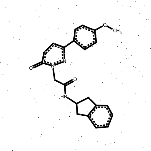 COc1ccc(-c2ccc(=O)n(CC(=O)NC3Cc4ccccc4C3)n2)cc1